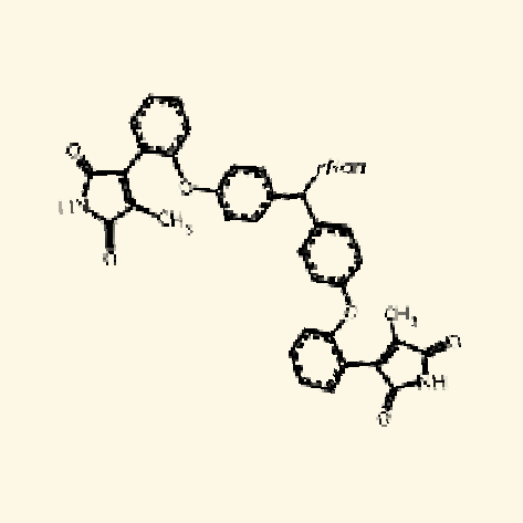 CCCCCCCCCC(c1ccc(Oc2ccccc2C2=C(C)C(=O)NC2=O)cc1)c1ccc(Oc2ccccc2C2=C(C)C(=O)NC2=O)cc1